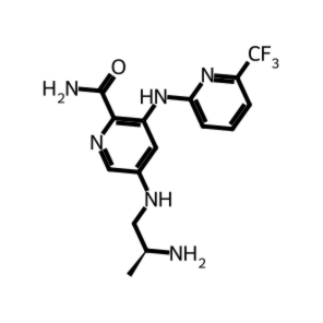 C[C@H](N)CNc1cnc(C(N)=O)c(Nc2cccc(C(F)(F)F)n2)c1